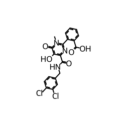 Cn1c(-c2ccccc2C(=O)O)nc(C(=O)NCc2ccc(Cl)c(Cl)c2)c(O)c1=O